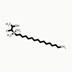 CCCCCCCCCCCCCCCC[N+](C)(C)C(Cl)C(C)O